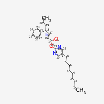 CCCCCCCCCc1cnc(OC(=O)/C=C/C(CCC)c2ccccc2)nc1